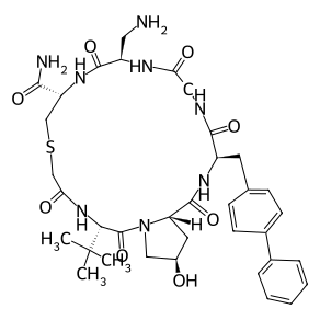 CC(C)(C)[C@@H]1NC(=O)CSC[C@H](C(N)=O)NC(=O)[C@@H](CN)NC(=O)CNC(=O)[C@@H](Cc2ccc(-c3ccccc3)cc2)NC(=O)[C@@H]2C[C@@H](O)CN2C1=O